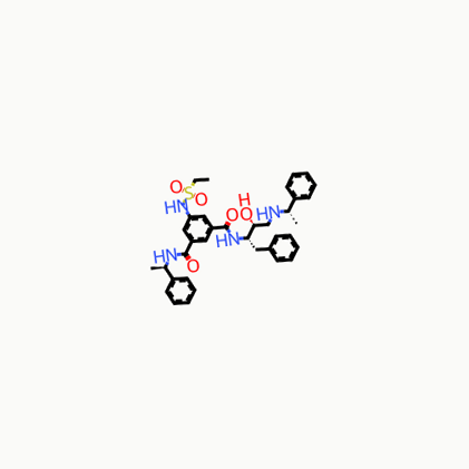 CCS(=O)(=O)Nc1cc(C(=O)N[C@@H](Cc2ccccc2)[C@H](O)CN[C@@H](C)c2ccccc2)cc(C(=O)N[C@H](C)c2ccccc2)c1